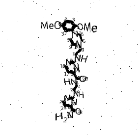 COc1ccc(OC)c(N2CCN(CCNc3nccc(C(=O)NCCNc4nccc(C(N)=O)n4)n3)CC2)c1